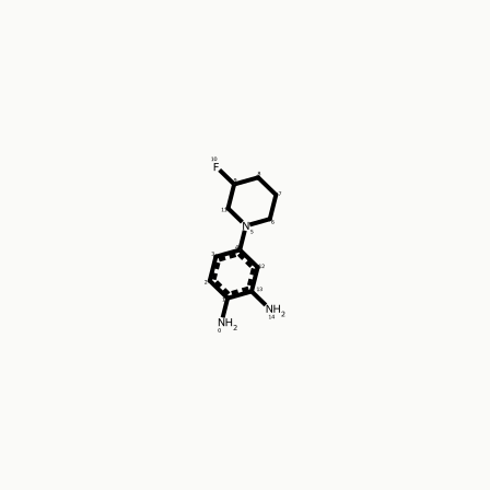 Nc1ccc(N2CCCC(F)C2)cc1N